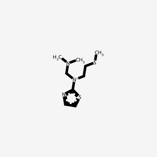 CSCC[N+](CN(C)C)c1nccs1